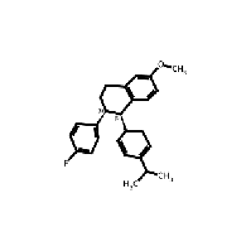 COc1ccc2c(c1)CC[C@H](c1ccc(F)cc1)[C@@H]2C1C=CC(C(C)C)=CC1